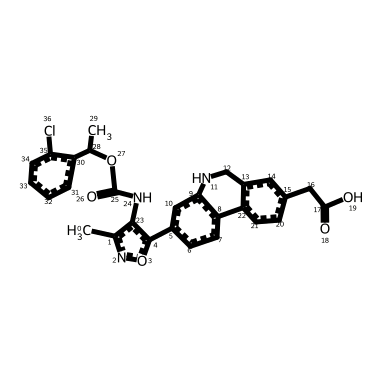 Cc1noc(-c2ccc3c(c2)NCc2cc(CC(=O)O)ccc2-3)c1NC(=O)OC(C)c1ccccc1Cl